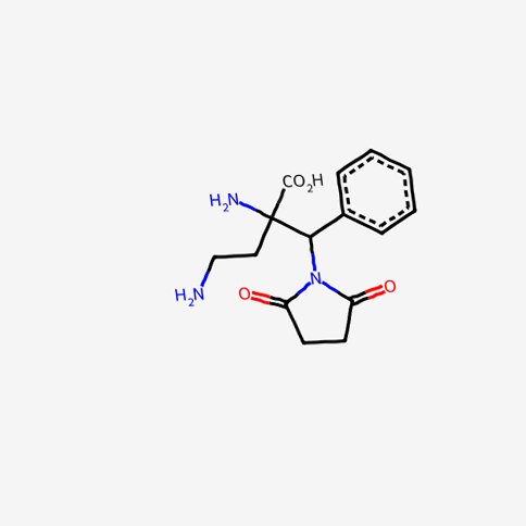 NCCC(N)(C(=O)O)C(c1ccccc1)N1C(=O)CCC1=O